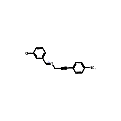 O=[N+]([O-])c1ccc(C#CC/N=C/c2cccc(Cl)c2)cc1